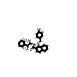 CC(c1ccccc1)C(NC(=O)c1ccc2ccccc2c1OCc1ccc(C(F)(F)F)cc1)C(=O)O